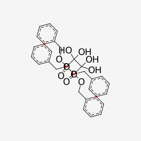 O=P(OCc1ccccc1)(OCc1ccccc1)C(O)(O)C(O)(O)P(=O)(OCc1ccccc1)OCc1ccccc1